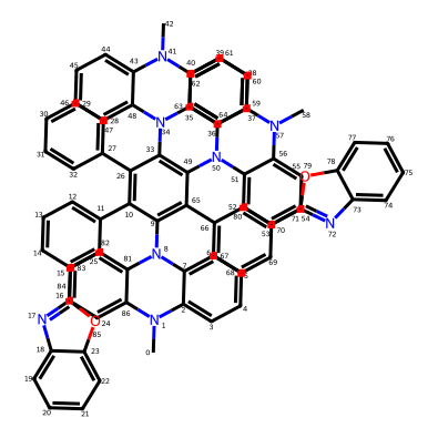 CN1c2ccccc2N(c2c(-c3cccc(-c4nc5ccccc5o4)c3)c(-c3ccccc3)c(N3c4ccccc4N(C)c4ccccc43)c(N3c4ccccc4N(C)c4ccccc43)c2-c2cccc(-c3nc4ccccc4o3)c2)c2ccccc21